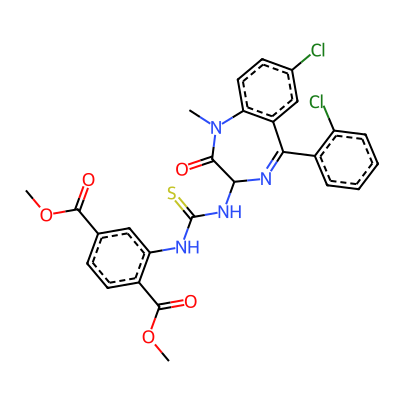 COC(=O)c1ccc(C(=O)OC)c(NC(=S)NC2N=C(c3ccccc3Cl)c3cc(Cl)ccc3N(C)C2=O)c1